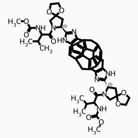 COC(=O)NC(C(=O)N1CC2(C[C@H]1c1nc3cc(-c4cc5ccc4CCc4ccc(c(-c6ccc7[nH]c([C@@H]8CC9(CN8C(=O)C(NC(=O)OC)C(C)C)OCCO9)nc7c6)c4)CC5)ccc3[nH]1)OCCO2)C(C)C